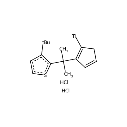 CC(C)(C)c1ccsc1C(C)(C)C1=[C]([Ti])CC=C1.Cl.Cl